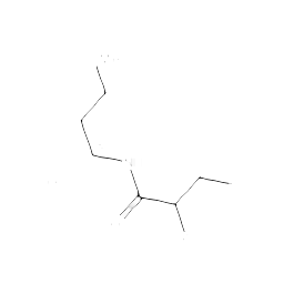 CSCC[C@H](NC(=O)C(C)CC(=O)O)C(=O)O